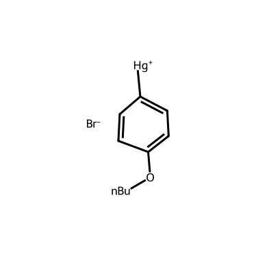 CCCCOc1cc[c]([Hg+])cc1.[Br-]